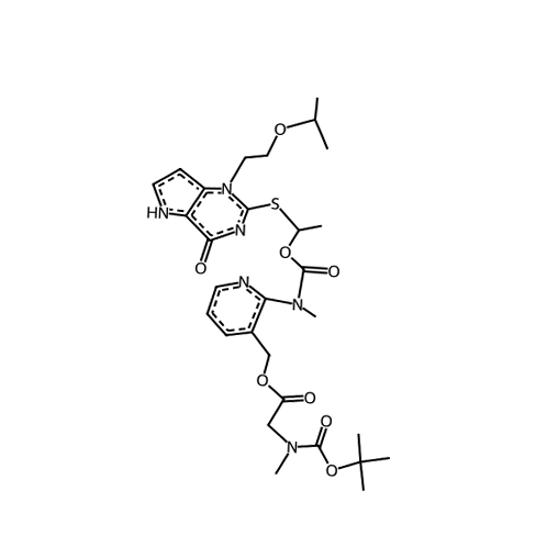 CC(C)OCCn1c(SC(C)OC(=O)N(C)c2ncccc2COC(=O)CN(C)C(=O)OC(C)(C)C)nc(=O)c2[nH]ccc21